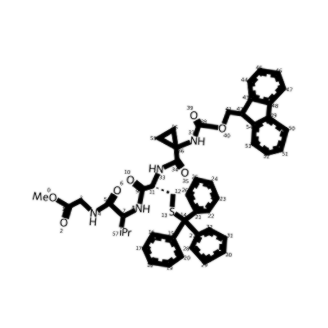 COC(=O)CNC(=O)C(NC(=O)[C@@H](CSC(c1ccccc1)(c1ccccc1)c1ccccc1)NC(=O)C1(NC(=O)OCC2c3ccccc3-c3ccccc32)CC1)C(C)C